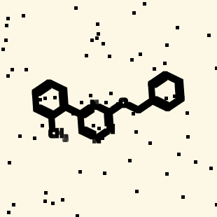 Cc1ccccc1-c1cnnc(OCc2ccccc2)n1